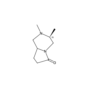 C[C@H]1CN2C(=O)CCC2CN1C